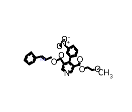 COCCOC(=O)c1cncc(C(=O)OC/C=C/c2ccccc2)c1-c1cccc([N+](=O)[O-])c1